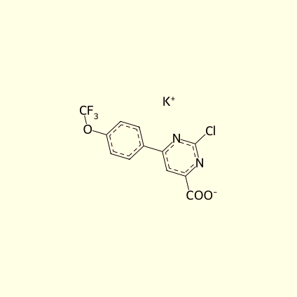 O=C([O-])c1cc(-c2ccc(OC(F)(F)F)cc2)nc(Cl)n1.[K+]